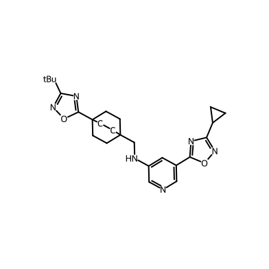 CC(C)(C)c1noc(C23CCC(CNc4cncc(-c5nc(C6CC6)no5)c4)(CC2)CC3)n1